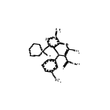 CCC1(c2nn(C)c3c2C(c2cccc([N+](=O)[O-])c2)C(C(=O)OC)=C(C)N3)CCCCC1